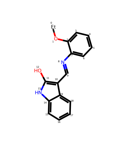 CCOc1ccccc1N=Cc1c(O)[nH]c2ccccc12